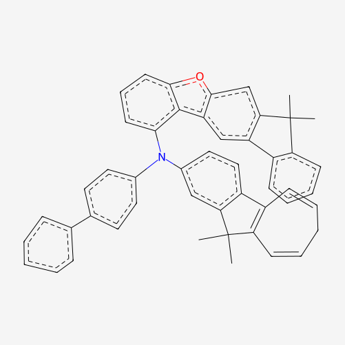 CC1(C)C2=C(C=CCC=C2)c2ccc(N(c3ccc(-c4ccccc4)cc3)c3cccc4oc5cc6c(cc5c34)-c3ccccc3C6(C)C)cc21